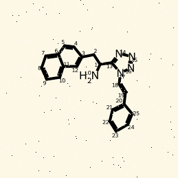 NC(Cc1ccc2ccccc2c1)c1nnnn1C=Cc1ccccc1